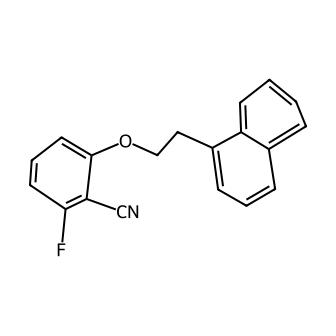 N#Cc1c(F)cccc1OCCc1cccc2ccccc12